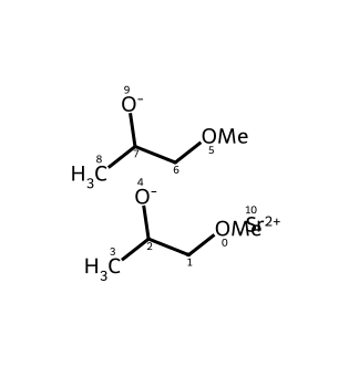 COCC(C)[O-].COCC(C)[O-].[Sr+2]